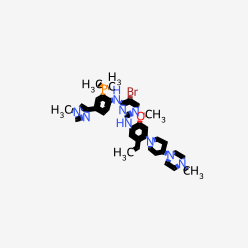 CCc1cc(Nc2ncc(Br)c(Nc3ccc(-c4cn(C)cn4)cc3P(C)C)n2)c(OC)cc1N1CCC(N2CCN(C)CC2)CC1